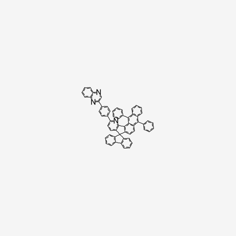 c1ccc(-c2c3ccccc3c(-c3ccccc3)c3c4c(ccc23)C2(c3ccccc3-c3ccccc32)c2ccc(-c3ccc(-c5cnc6ccccc6n5)cc3)nc2-4)cc1